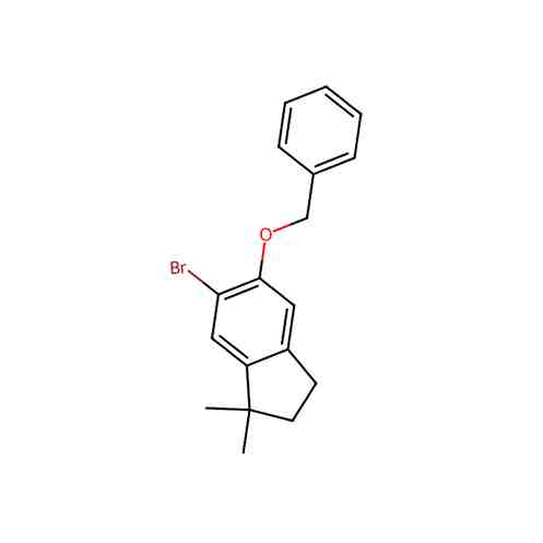 CC1(C)CCc2cc(OCc3ccccc3)c(Br)cc21